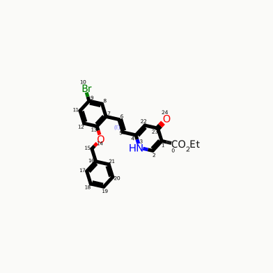 CCOC(=O)c1c[nH]c(/C=C/c2cc(Br)ccc2OCc2ccccc2)cc1=O